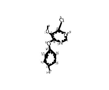 COc1c(Cl)ncnc1Oc1ccc(F)cc1